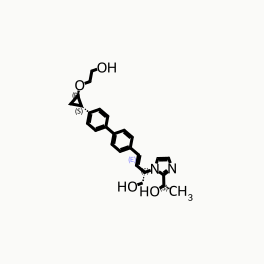 C[C@H](O)c1nccn1[C@@H](/C=C/c1ccc(-c2ccc([C@@H]3C[C@H]3OCCO)cc2)cc1)CO